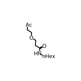 CCCCCCNC(=O)CCOCCC(C)=O